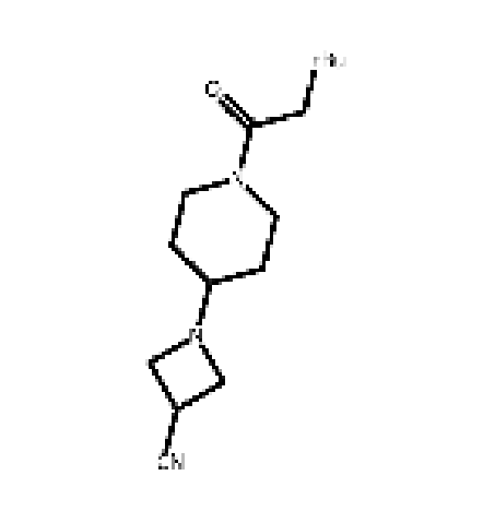 CC(C)(C)CC(=O)N1CCC(N2CC(C#N)C2)CC1